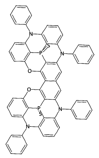 S=P12c3c4cccc3N(c3ccccc3)c3cccc(c31)N(c1ccccc1)c1cc3cc5c6c(c3c(c12)O4)Oc1cccc2c1P6(=S)c1c(cccc1N5c1ccccc1)N2c1ccccc1